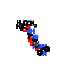 CC(C)(C)OC(=O)NCC1COc2c(S(N)(=O)=NC(=O)Nc3c4c(nc5c3CCC5)CCC4)cnn2C1